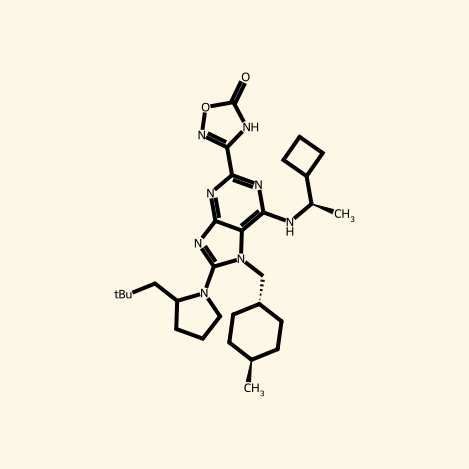 C[C@@H](Nc1nc(-c2noc(=O)[nH]2)nc2nc(N3CCCC3CC(C)(C)C)n(C[C@H]3CC[C@H](C)CC3)c12)C1CCC1